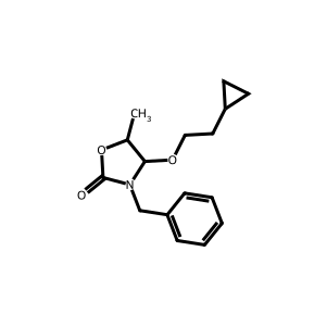 CC1OC(=O)N(Cc2ccccc2)C1OCCC1CC1